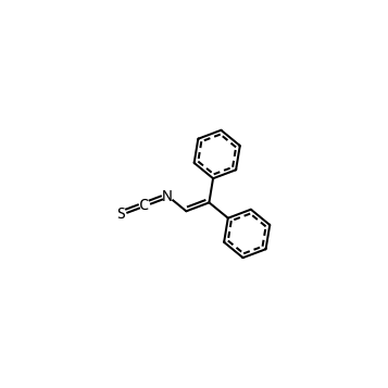 S=C=NC=C(c1ccccc1)c1ccccc1